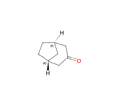 O=C1C[C@@H]2CC[C@@H](C1)C2